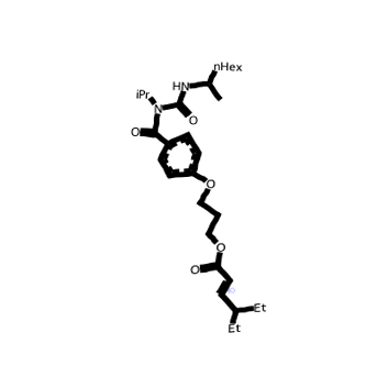 CCCCCCC(C)NC(=O)N(C(=O)c1ccc(OCCCOC(=O)/C=C/C(CC)CC)cc1)C(C)C